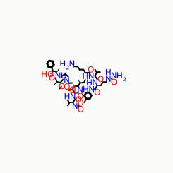 C=C(C)[C@H](NC(=O)CCCCCN)C(=O)N[C@@H](CCCNC(N)=O)C(=O)Nc1ccc(COC(=O)N(C)[C@H](C(=O)N[C@H](C(=O)N(C)[C@@H]([C@@H](C)CC)[C@@H](CC(=O)N2CCC[C@H]2[C@H](OC)[C@@H](C)C(=O)N[C@H](C)[C@@H](O)c2ccccc2)OC)C(C)C)C(C)C)cc1